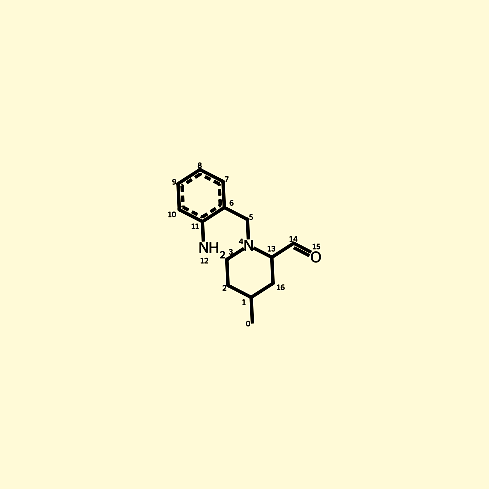 CC1CCN(Cc2ccccc2N)C(C=O)C1